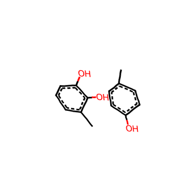 Cc1ccc(O)cc1.Cc1cccc(O)c1O